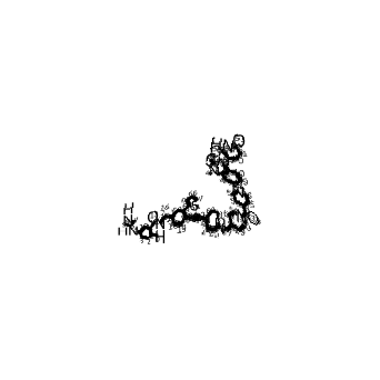 Cc1ccc(NC2CNC2)cc1C(=O)N[C@H](C)c1ccc(C#CC2CCN(CC3CCN(C(=O)C4CCN(c5ccc6c(c5)n(C)c(=O)n6C5CCC(=O)NC5=O)CC4)CC3)CC2)c(-c2cccs2)c1